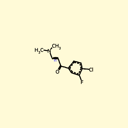 CN(C)/C=C/C(=O)c1ccc(Cl)c(F)c1